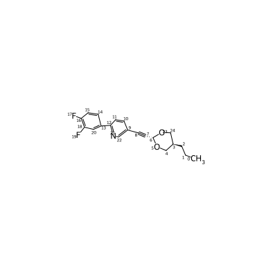 CCC[C@H]1CO[C@H](C#Cc2ccc(-c3ccc(F)c(F)c3)nc2)OC1